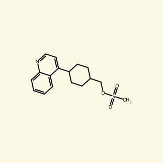 CS(=O)(=O)OCC1CCC(c2ccnc3ccccc23)CC1